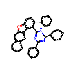 c1ccc(C2=NC(c3ccccc3)NC(c3c(-c4ccccc4)ccc4oc5cc6ccccc6cc5c34)=N2)cc1